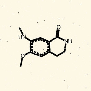 CNc1cc2c(cc1OC)CCNC2=O